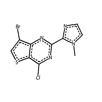 Cn1ccnc1-c1nc(Cl)c2scc(Br)c2n1